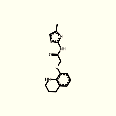 Cc1csc(NC(=O)COc2cccc3c2NCCC3)n1